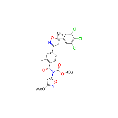 COC1=NO[C@H](N(C(=O)OC(C)(C)C)C(=O)c2ccc(C3=NO[C@@](c4cc(Cl)c(Cl)c(Cl)c4)(C(F)(F)F)C3)cc2C)C1